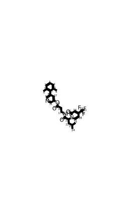 Cc1cccc(C)c1-c1cncc(OC(=O)CCNC(=O)C(CC(C)C)n2ccc(C(F)(F)F)cc2=O)c1